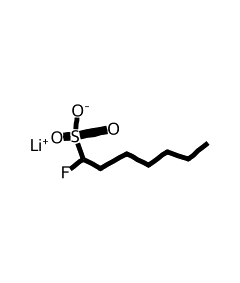 CCCCCCC(F)S(=O)(=O)[O-].[Li+]